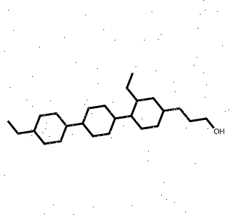 CCC1CCC(C2CCC(C3CCC(CCCO)CC3CC)CC2)CC1